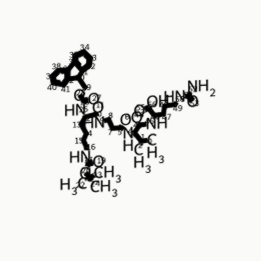 CC(C)C(NC(=O)CCNC(=O)C(CCCCNC(=O)OC(C)(C)C)NC(=O)OCC1c2ccccc2-c2ccccc21)C(=O)NC(CCCNC(N)=O)C(=O)O